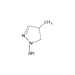 CCCN1CC(C)C=N1